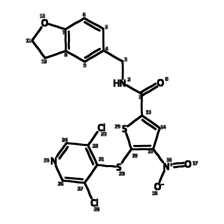 O=C(NCc1ccc2c(c1)CCO2)c1cc([N+](=O)[O-])c(Sc2c(Cl)cncc2Cl)s1